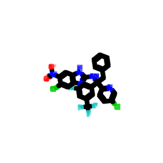 O=[N+]([O-])c1cc2[nH]c(NC(Cc3ccccc3)(c3cc(F)cc(C(F)(F)F)c3)c3ccc(Cl)cn3)nc2cc1Cl